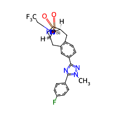 Cn1nc(-c2ccc3c(c2)C[C@H]2CC[C@@H](C3)[C@]23CN(CC(F)(F)F)S(=O)(=O)N3)nc1-c1ccc(F)cc1